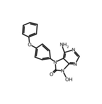 Nc1ncnc2c1n(-c1ccc(Oc3ccccc3)cc1)c(=O)n2O